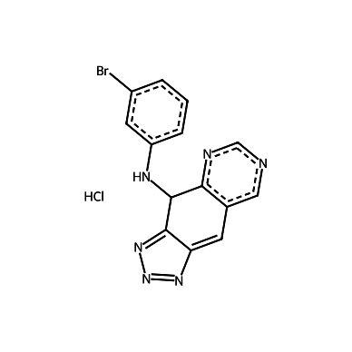 Brc1cccc(NC2C3=NN=NC3=Cc3cncnc32)c1.Cl